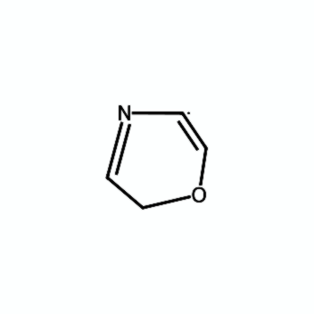 [C]1=COCC=N1